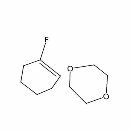 C1COCCO1.FC1=CCCCC1